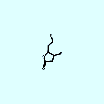 O=C1CC(F)C(CCF)O1